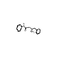 NC(CC(=O)Nc1ccccc1)Cc1ccccn1